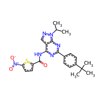 CC(C)n1ncc2c(NC(=O)c3ccc([N+](=O)[O-])s3)nc(-c3ccc(C(C)(C)C)cc3)nc21